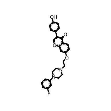 O=c1c(-c2ccc(O)cc2)coc2cc(OCCN3CCN(c4cccc(F)c4)CC3)ccc12